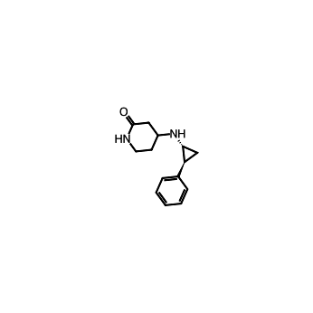 O=C1CC(N[C@@H]2C[C@H]2c2ccccc2)CCN1